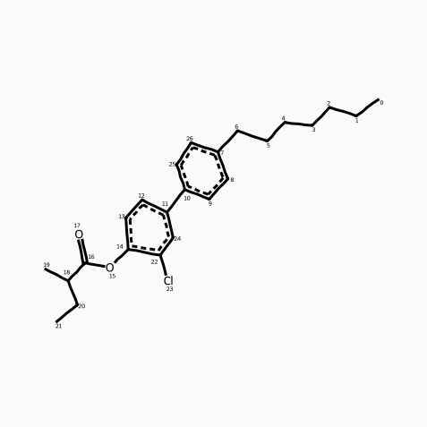 CCCCCCCc1ccc(-c2ccc(OC(=O)C(C)CC)c(Cl)c2)cc1